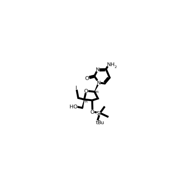 CC(C)(C)[Si](C)(C)OC1C[C@H](n2ccc(N)nc2=O)O[C@@]1(CO)CI